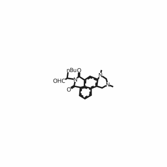 CCCCC(C=O)N1C(=O)c2cccc3c4c(cc(c23)C1=O)N(C)CN(C)C4